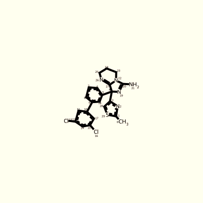 Cc1nc(C2(c3cccc(-c4cc(Cl)cc(Cl)c4)c3)N=C(N)N3CCCN=C32)cs1